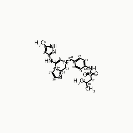 Cc1cc(NC2=CN(Sc3ccc(NS(=O)(=O)CC(C)C)cc3)CC3=NC=C[N+]23)n[nH]1